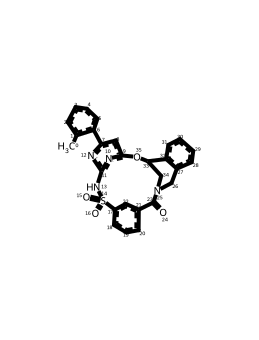 Cc1ccccc1-c1cc2nc(n1)NS(=O)(=O)c1cccc(c1)C(=O)N1Cc3ccccc3C(C1)O2